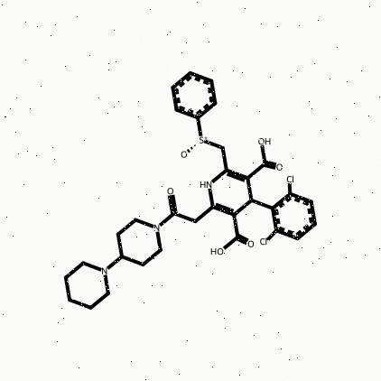 O=C(O)C1=C(CC(=O)N2CCC(N3CCCCC3)CC2)NC(C[S@+]([O-])c2ccccc2)=C(C(=O)O)C1c1c(Cl)cccc1Cl